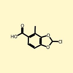 Cc1c(C(=O)O)ccc2c1OC(Cl)O2